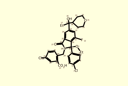 CCO[C@]1(c2ccc(Cl)cc2)c2c(F)cc(C(O)(CC)C3CCOCC3)cc2C(=O)N1Cc1ccc(Cl)cc1C(=O)O